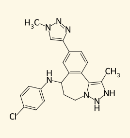 CC1=C2c3ccc(-c4cn(C)nn4)cc3C(Nc3ccc(Cl)cc3)CCN2NN1